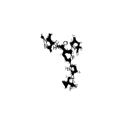 Cc1nn(C)c(C)c1SNC(=O)c1ccc(N2C=CC(OCC3(C(F)(F)F)CC3)N2)nc1N1CC(C)CC1(C)C